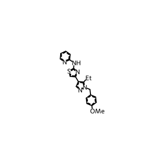 CCc1c(-c2csc(Nc3ccccn3)n2)cnn1Cc1ccc(OC)cc1